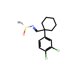 CC(C)(C)[S@@+]([O-])N=CC1(c2ccc(Cl)c(Cl)c2)CCCCC1